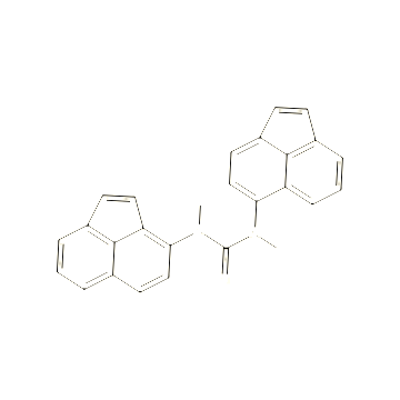 CN(C(=N)N(C)c1ccc2c3c(cccc13)C=C2)c1ccc2cccc3c2c1C=C3